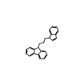 C1=CC(CCCC2c3ccccc3-c3ccccc32)c2ccccc21